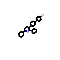 Clc1ccc(-c2ccc(-c3ccc(-c4ccccc4)nc3-c3ccccc3)cc2)cc1